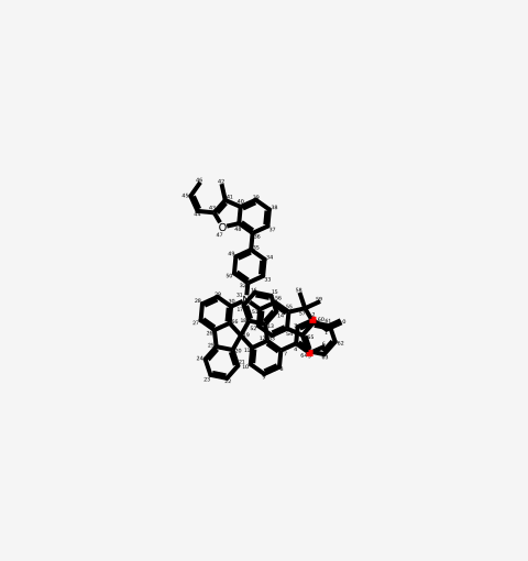 C=C/C=C\C(=C/C)c1cccc2c1-c1ccccc1C21c2ccccc2-c2cccc(N(c3ccc(-c4cccc5c(C)c(/C=C\C)oc45)cc3)c3ccc4c(c3)C(C)(C)c3ccccc3-4)c21